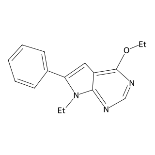 CCOc1ncnc2c1cc(-c1ccccc1)n2CC